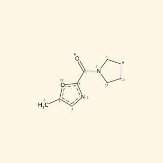 Cc1cnc(C(=O)N2CCCC2)o1